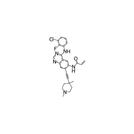 C=CC(=O)Nc1cc2c(Nc3cccc(Cl)c3F)ncnc2cc1C#CC1(C)CCN(C)CC1